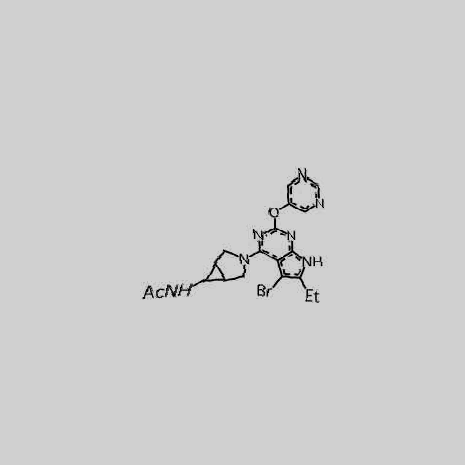 CCc1[nH]c2nc(Oc3cncnc3)nc(N3CC4C(C3)C4NC(C)=O)c2c1Br